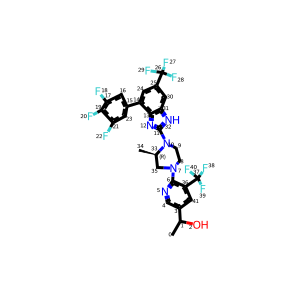 CC(O)c1cnc(N2CCN(c3nc4c(-c5cc(F)c(F)c(F)c5)cc(C(F)(F)F)cc4[nH]3)[C@H](C)C2)c(C(F)(F)F)c1